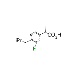 CC(C)Cc1ccc(C(C)C(=O)O)cc1F